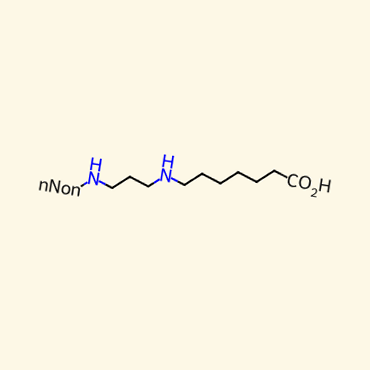 CCCCCCCCCNCCCNCCCCCCC(=O)O